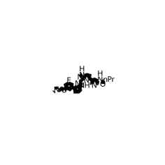 CCCC(=O)Nc1cncc(-c2ccc3[nH]nc(-c4nc5c(-c6cc(F)cc(OCCN(C)C)c6)cccc5[nH]4)c3n2)c1